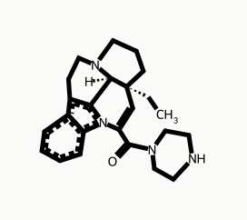 CC[C@@]12C=C(C(=O)N3CCNCC3)n3c4c(c5ccccc53)CCN(CCC1)[C@H]42